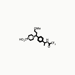 COCCC(c1ccc(C(C)NC(=O)C(F)(F)F)cc1)N1CCN(C(=O)O)CC1